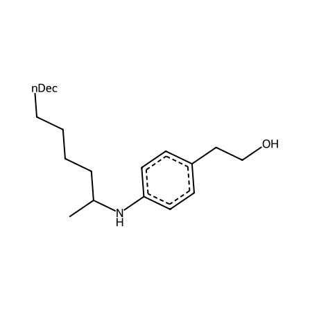 CCCCCCCCCCCCCCC(C)Nc1ccc(CCO)cc1